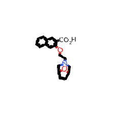 O=C(O)c1cc2ccccc2cc1OCCN1CC2CCC(C1)O2